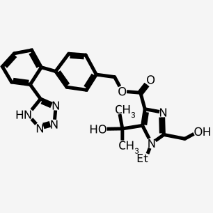 CCn1c(CO)nc(C(=O)OCc2ccc(-c3ccccc3-c3nnn[nH]3)cc2)c1C(C)(C)O